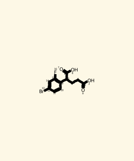 O=C(O)CCC(C(=O)O)c1ccc(Br)cc1F